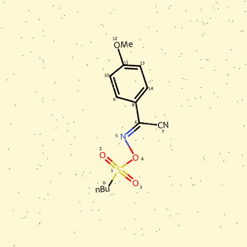 CCCCS(=O)(=O)O/N=C(\C#N)c1ccc(OC)cc1